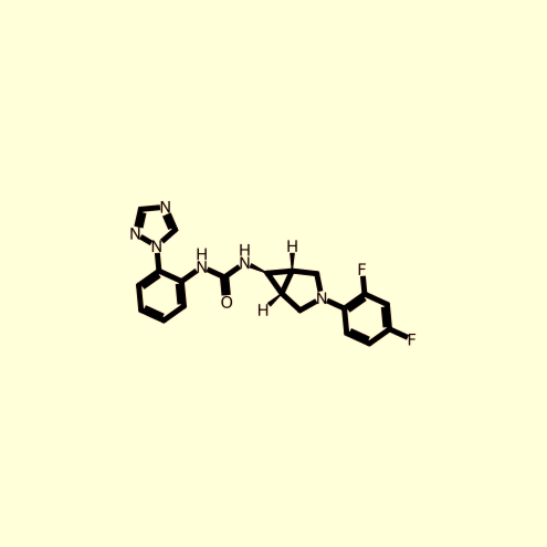 O=C(Nc1ccccc1-n1cncn1)N[C@H]1[C@@H]2CN(c3ccc(F)cc3F)C[C@@H]21